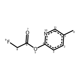 Cc1ccc(OC(=O)CF)nc1